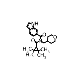 CC1(C)C(C(=O)N(CC2CCOCC2)C(=O)c2ccc3cc[nH]c3c2)C1(C)C